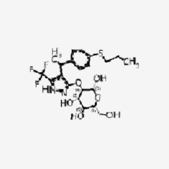 CCCSc1ccc(C(C)c2c(O[C@@H]3[C@@H](O)[C@H](O)[C@@H](CO)O[C@H]3O)n[nH]c2C(F)(F)F)cc1